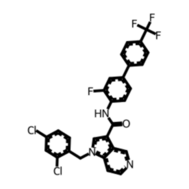 O=C(Nc1ccc(-c2ccc(C(F)(F)F)cc2)cc1F)c1cn(Cc2ccc(Cl)cc2Cl)c2ccncc12